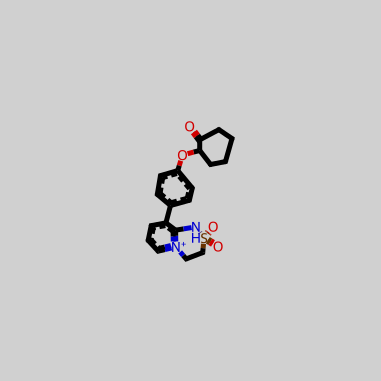 O=C1CCCCC1Oc1ccc(-c2ccc[n+]3c2NS(=O)(=O)CC3)cc1